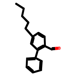 CCCCCc1ccc([C]=O)c(-c2ccccc2)c1